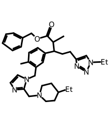 CCC1CCN(Cc2nccn2Cc2cc(C(CCc3cn(CC)nn3)C(C)C(=O)OCc3ccccc3)ccc2C)CC1